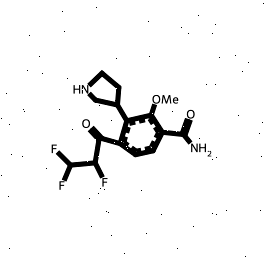 COc1c(C(N)=O)ccc(C(=O)C(F)C(F)F)c1C1CCNC1